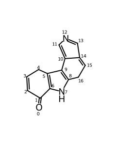 O=C1C=CCc2c1[nH]c1c2C2=CN=CC2=CC1